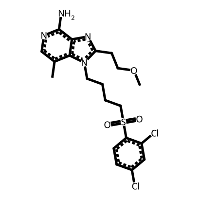 COCCc1nc2c(N)ncc(C)c2n1CCCCS(=O)(=O)c1ccc(Cl)cc1Cl